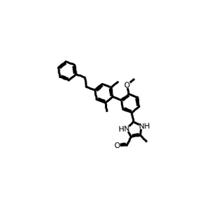 COc1ccc(C2NC(C)=C(C=O)N2)cc1-c1c(C)cc(CCc2ccccc2)cc1C